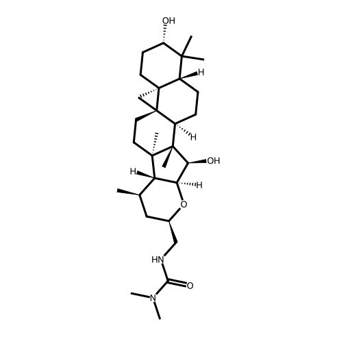 C[C@@H]1C[C@H](CNC(=O)N(C)C)O[C@H]2[C@H]1[C@@]1(C)CC[C@@]34C[C@@]35CC[C@H](O)C(C)(C)[C@@H]5CC[C@H]4[C@]1(C)[C@H]2O